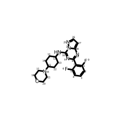 Fc1cccc(F)c1-c1nc(NC2CCC(N3CCOCC3)CC2)n2nccc2n1